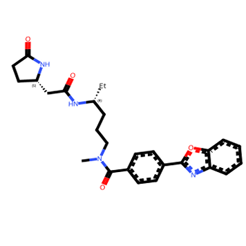 CC[C@H](CCCN(C)C(=O)c1ccc(-c2nc3ccccc3o2)cc1)NC(=O)C[C@@H]1CCC(=O)N1